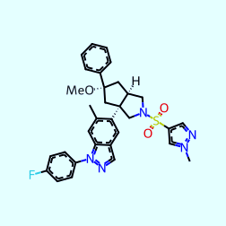 CO[C@]1(c2ccccc2)C[C@H]2CN(S(=O)(=O)c3cnn(C)c3)C[C@@]2(c2cc3cnn(-c4ccc(F)cc4)c3cc2C)C1